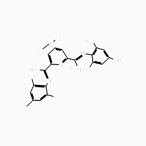 CC(=Nc1c(C)cc(C)cc1C)c1cccc(C(C)=Nc2c(C)cc(Cl)cc2Cl)n1.[Cl][Fe][Cl]